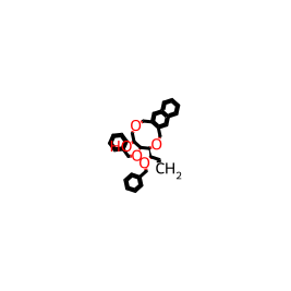 C=CC(OCc1ccccc1)[C@@H]1OCc2cc3ccccc3cc2COCC(O)[C@@H]1OCc1ccccc1